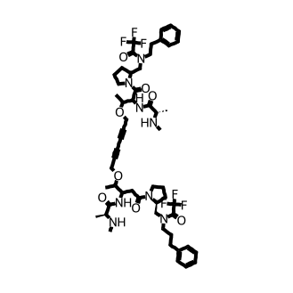 CN[C@@H](C)C(=O)NC(CC(=O)N1CCC[C@H]1CN(CCCc1ccccc1)C(=O)C(F)(F)F)C(C)OCC#CC#CCOC(C)C(NC(=O)[C@H](C)NC)C(=O)N1CCCC1CN(CCc1ccccc1)C(=O)C(F)(F)F